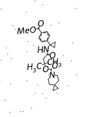 COC(=O)c1ccc(C2(NC(=O)CC(C)(C)OC(=O)N3CCC4(CC3)CC4)CC2)cc1